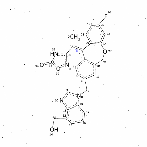 C/C(=C1/c2ccc(Cn3cnc4c(CO)cccc43)cc2COc2cc(F)ccc21)c1noc(=O)[nH]1